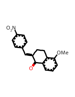 COc1cccc2c1CCC(=Cc1ccc([N+](=O)[O-])cc1)C2=O